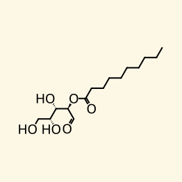 CCCCCCCCCC(=O)O[C@@H](C=O)[C@@H](O)[C@H](O)CO